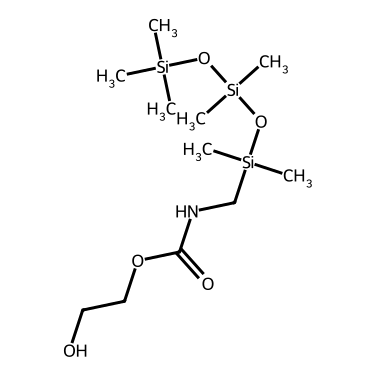 C[Si](C)(C)O[Si](C)(C)O[Si](C)(C)CNC(=O)OCCO